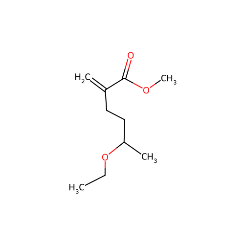 C=C(CCC(C)OCC)C(=O)OC